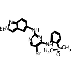 CCn1cc2cc(Nc3ncc(Br)c(Nc4ccccc4P(C)(C)=O)n3)ccc2n1